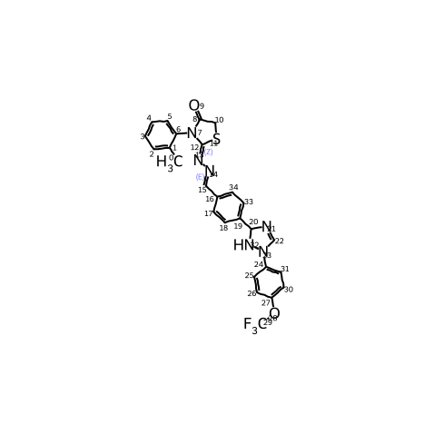 Cc1ccccc1N1C(=O)CS/C1=N\N=C\c1ccc(C2N=CN(c3ccc(OC(F)(F)F)cc3)N2)cc1